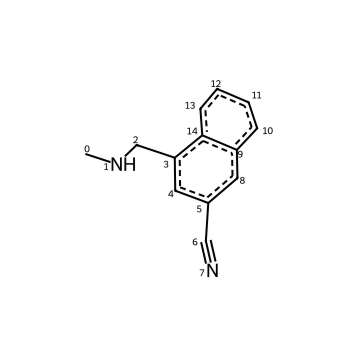 CNCc1cc(C#N)cc2ccccc12